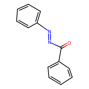 O=C(/N=N/c1ccccc1)c1ccccc1